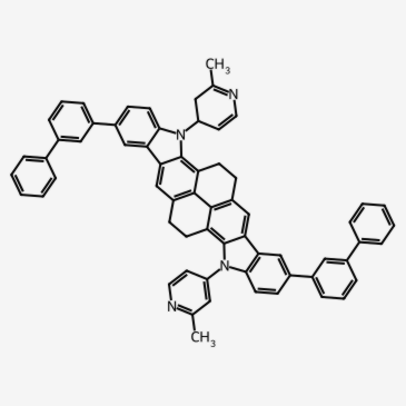 CC1=NC=CC(n2c3ccc(-c4cccc(-c5ccccc5)c4)cc3c3cc4c5c(c32)CCc2cc3c6cc(-c7cccc(-c8ccccc8)c7)ccc6n(-c6ccnc(C)c6)c3c(c2-5)CC4)C1